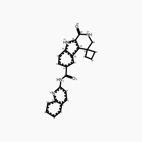 O=C(Nc1ccc2ccccc2n1)c1ccc2[nH]c3c(c2c1)C1(CCC1)CNC3=O